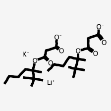 CCCCC(C)(OC(=O)CC(=O)[O-])C(C)(C)C.CCCCC(C)(OC(=O)CC(=O)[O-])C(C)(C)C.[K+].[Li+]